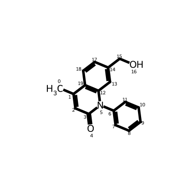 Cc1cc(=O)n(-c2ccccc2)c2cc(CO)ccc12